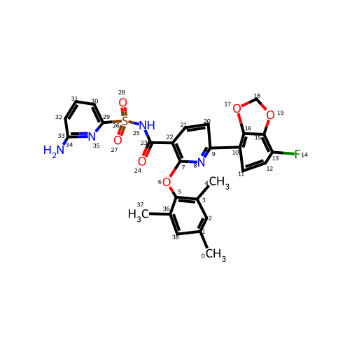 Cc1cc(C)c(Oc2nc(-c3ccc(F)c4c3OCO4)ccc2C(=O)NS(=O)(=O)c2cccc(N)n2)c(C)c1